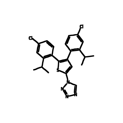 CC(C)c1cc(Cl)ccc1-c1cc(-n2cnnn2)sc1-c1ccc(Cl)cc1C(C)C